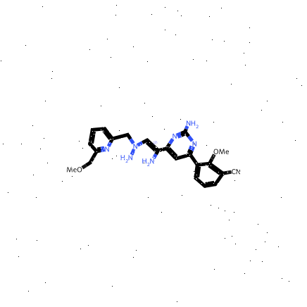 COCc1cccc(CN(N)/C=C(\N)c2cc(-c3cccc(C#N)c3OC)nc(N)n2)n1